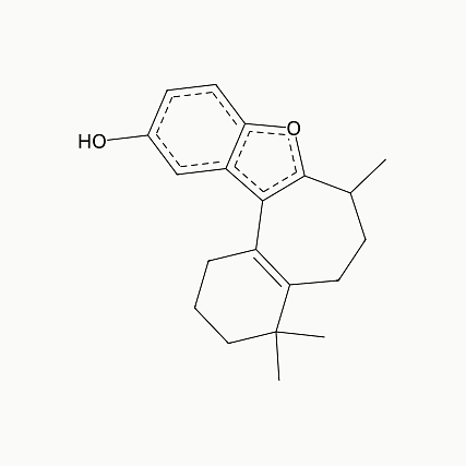 CC1CCC2=C(CCCC2(C)C)c2c1oc1ccc(O)cc21